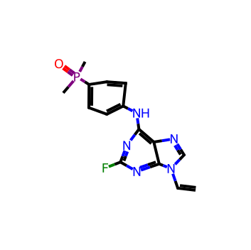 C=Cn1cnc2c(Nc3ccc(P(C)(C)=O)cc3)nc(F)nc21